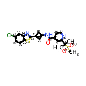 CC(C)(c1cc(C(=O)NC23CC(c4nc5cc(Cl)ccc5s4)(C2)C3)ccn1)S(C)(=O)=O